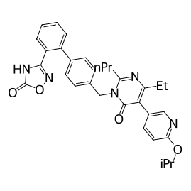 CCCc1nc(CC)c(-c2ccc(OC(C)C)nc2)c(=O)n1Cc1ccc(-c2ccccc2-c2noc(=O)[nH]2)cc1